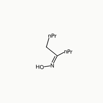 CCCC/C(CCC)=N\O